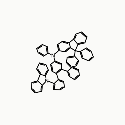 c1ccc(-c2cc(N(c3ccccc3)c3ccc4c(c3)C(c3ccccc3)(c3ccccc3)c3ccccc3-4)ccc2-c2ccccc2-n2c3ccccc3c3ccccc32)cc1